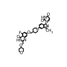 Cn1nc(-n2ccc(=O)[nH]c2=O)c2ccc(N3CCC(COc4cc(F)c5c(=O)[nH]c(COC6CCOCC6)nc5c4)CC3)cc21